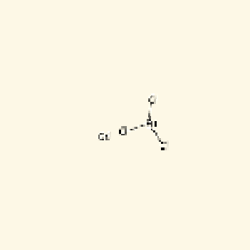 [Cl][Eu]([Cl])[Cl].[Gd]